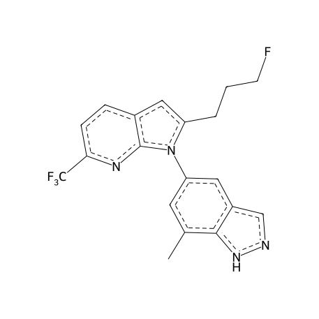 Cc1cc(-n2c(CCCF)cc3ccc(C(F)(F)F)nc32)cc2cn[nH]c12